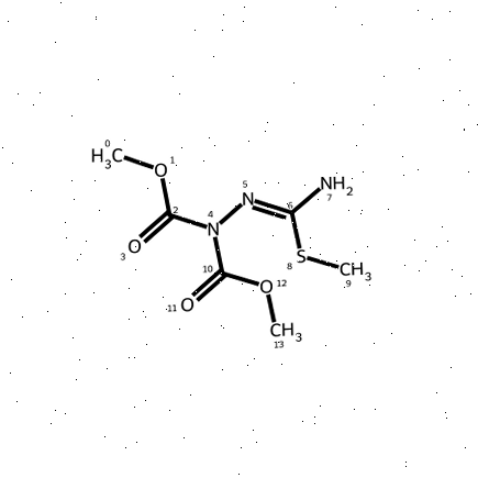 COC(=O)N(N=C(N)SC)C(=O)OC